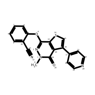 Cn1nc(Oc2ccccc2C#N)c2scc(-c3ccncc3)c2c1=O